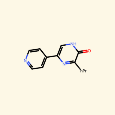 CCCc1nc(-c2ccncc2)c[nH]c1=O